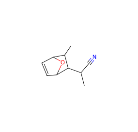 CC(C#N)C1C2C=CC(O2)C1C